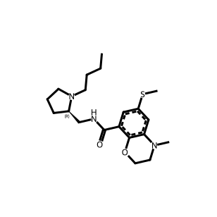 CCCCN1CCC[C@@H]1CNC(=O)c1cc(SC)cc2c1OCCN2C